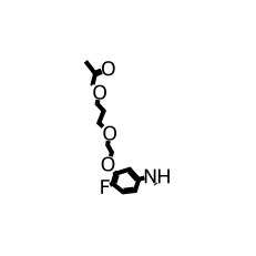 CNc1ccc(F)c(OCCOCCCOCC(C)=O)c1